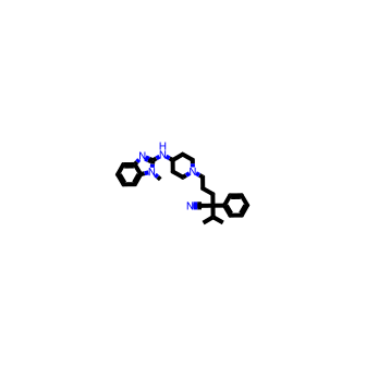 CC(C)C(C#N)(CCCN1CCC(Nc2nc3ccccc3n2C)CC1)c1ccccc1